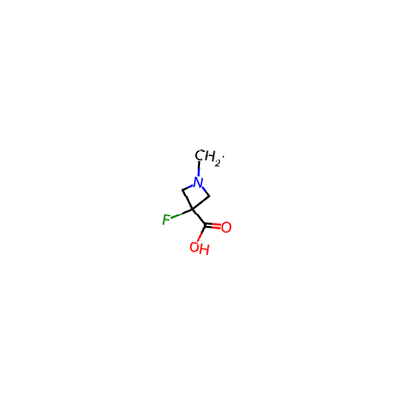 [CH2]N1CC(F)(C(=O)O)C1